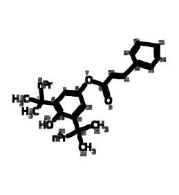 CCCC(C)(C)c1cc(OC(=O)C=Cc2ccccc2)cc(C(C)(C)CCC)c1O